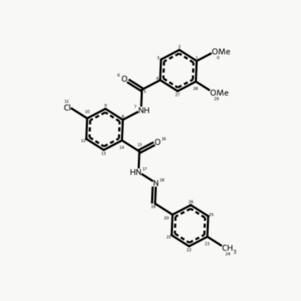 COc1ccc(C(=O)Nc2cc(Cl)ccc2C(=O)NN=Cc2ccc(C)cc2)cc1OC